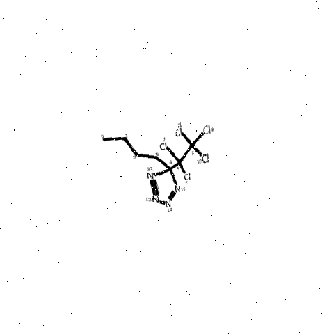 CCCCC1(C(Cl)(Cl)C(Cl)(Cl)Cl)N=NN=N1